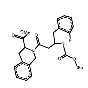 COC(=O)C1Cc2ccccc2CN1C(=O)CC(Cc1ccccc1F)NC(=O)OC(C)(C)C